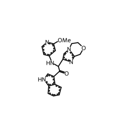 COc1cc(NC(C(=O)c2c[nH]c3ccccc23)c2cn3c(n2)COCC3)ccn1